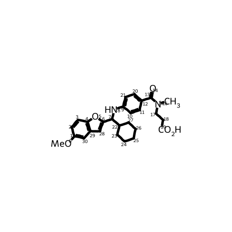 COc1ccc2oc(C(Nc3ccc(C(=O)N(C)CCC(=O)O)cc3)C3CCCCC3)cc2c1